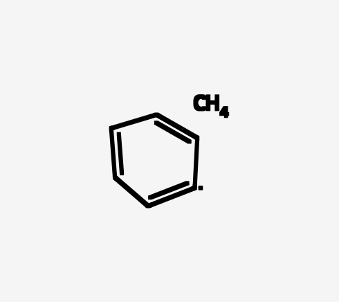 C.[c]1ccccc1